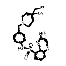 CC(C)CC1(O)CCN(Cc2ccc(NS(=O)(=O)c3cccc4ncc(N)nc34)cc2)CC1